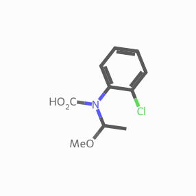 COC(C)N(C(=O)O)c1ccccc1Cl